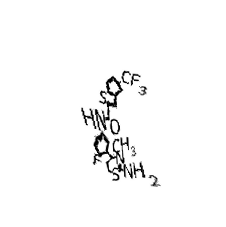 C[C@@]1(c2cc(NC(=O)c3cc4cc(C(F)(F)F)ccc4s3)ccc2F)CCSC(N)=N1